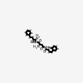 NC(NC(=O)[C@@H](N)CC(=O)NC(=O)c1ccc2ccccc2n1)C(O)CCc1ccccc1